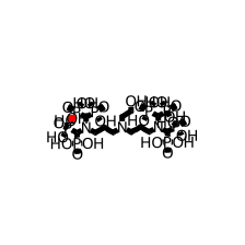 O=P(O)(O)C(N(CCCN(CCO)CCCN(C(P(=O)(O)O)P(=O)(O)O)C(P(=O)(O)O)P(=O)(O)O)C(P(=O)(O)O)P(=O)(O)O)P(=O)(O)O